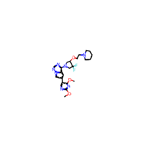 COc1ncc(-c2cc3c(N4CC(OCCN5CCCCC5)C(F)(F)C4)ncnn3c2)c(OC)n1